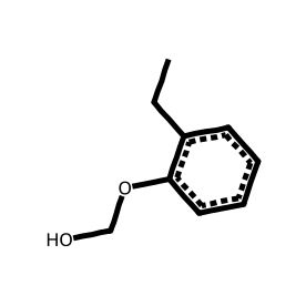 CCc1ccccc1OCO